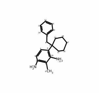 Cc1c(N)ccc(C2(Cc3ccccc3)CCCCC2)c1N